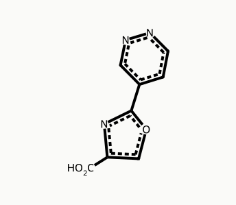 O=C(O)c1coc(-c2ccnnc2)n1